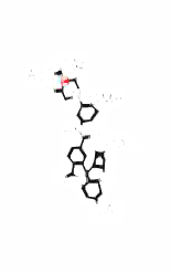 COc1ccc(NC(=O)c2ccc3c(c2)C2(OC3=O)c3ccc(OC(C)=O)cc3Oc3cc(OC(C)=O)ccc32)cc1N(CC(=O)OCOC(C)=O)CC(=O)OCOC(C)=O